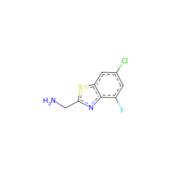 NCc1nc2c(F)cc(Cl)cc2s1